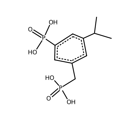 CC(C)c1cc(CP(=O)(O)O)cc(P(=O)(O)O)c1